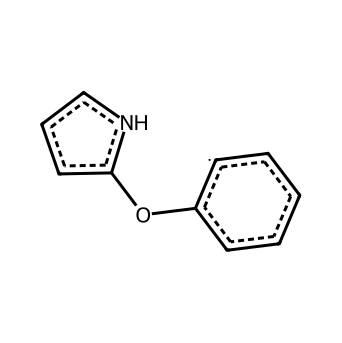 [c]1ccccc1Oc1ccc[nH]1